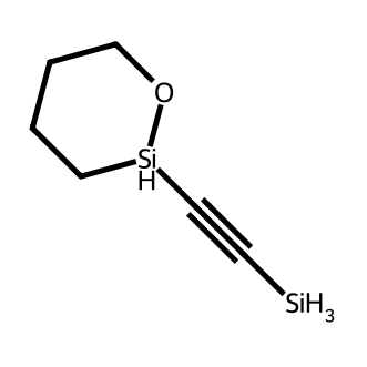 [SiH3]C#C[SiH]1CCCCO1